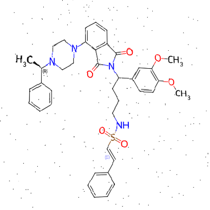 COc1ccc(C(CCCNS(=O)(=O)/C=C/c2ccccc2)N2C(=O)c3cccc(N4CCN([C@H](C)c5ccccc5)CC4)c3C2=O)cc1OC